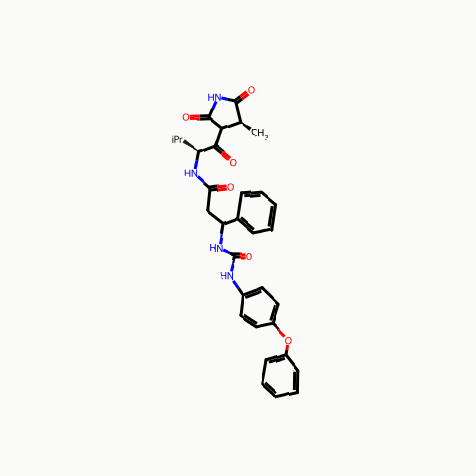 CC(C)[C@H](NC(=O)CC(NC(=O)Nc1ccc(Oc2ccccc2)cc1)c1ccccc1)C(=O)C1C(=O)NC(=O)[C@H]1C